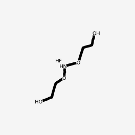 F.OCCONOCCO